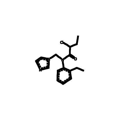 CCc1ccccc1N(Cn1ccnc1)C(=O)C(Cl)CC